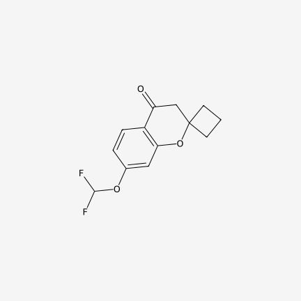 O=C1CC2(CCC2)Oc2cc(OC(F)F)ccc21